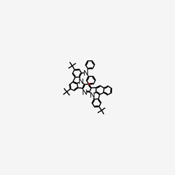 CC(C)(C)c1ccc2c(c1)c1c3ccccc3cc3c4cc5c(nc4n2c31)c1cc(C(C)(C)C)cc2c3cc(C(C)(C)C)cc(N(c4ccccc4)c4ccccc4)c3n5c21